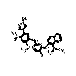 COc1cc([S+](C)[O-])c(-c2cnn(C)c2)cc1Nc1ncc(Br)c(Nc2ccc3nccnc3c2P(C)C)n1